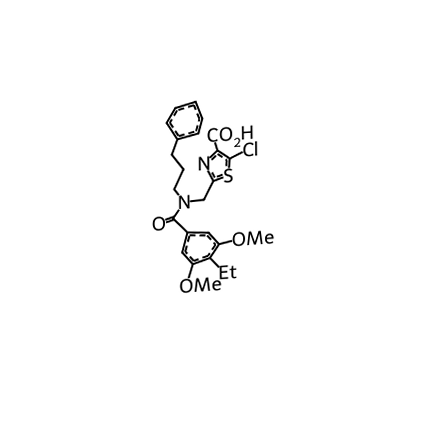 CCc1c(OC)cc(C(=O)N(CCCc2ccccc2)Cc2nc(C(=O)O)c(Cl)s2)cc1OC